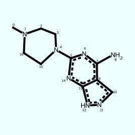 CN1CCN(c2nc(N)c3cn[nH]c3n2)CC1